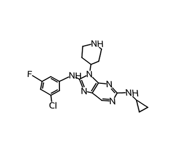 Fc1cc(Cl)cc(Nc2nc3cnc(NC4CC4)nc3n2C2CCNCC2)c1